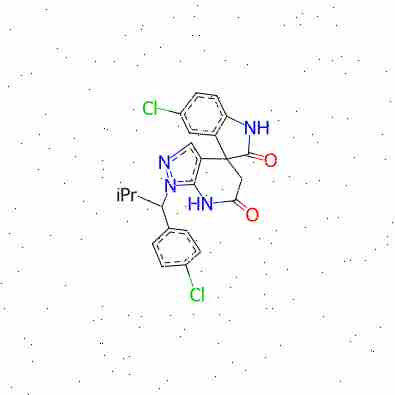 CC(C)C(c1ccc(Cl)cc1)n1ncc2c1NC(=O)CC21C(=O)Nc2ccc(Cl)cc21